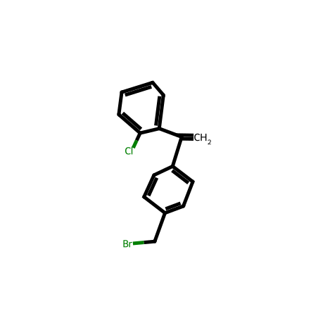 C=C(c1ccc(CBr)cc1)c1ccccc1Cl